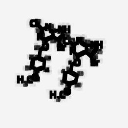 COc1ccc(COc2nc(Cl)nc3[nH]cc(Br)c23)cc1.COc1ccc(COc2nc(Cl)nc3[nH]cc(Br)c23)cc1